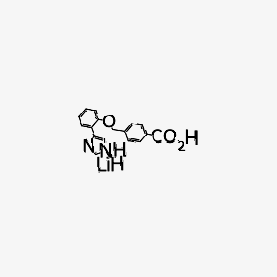 O=C(O)c1ccc(COc2ccccc2-c2c[nH]cn2)cc1.[LiH]